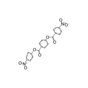 O=C(Oc1ccc([N+](=O)[O-])cc1)c1ccc(OC(=O)c2ccc([N+](=O)[O-])cc2)cc1